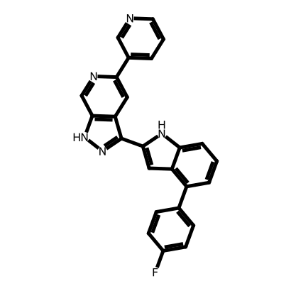 Fc1ccc(-c2cccc3[nH]c(-c4n[nH]c5cnc(-c6cccnc6)cc45)cc23)cc1